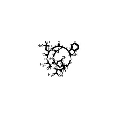 CC1NC(=O)C(CC(C)(C)O)NCC(=O)C2Cc3c([nH]c4ccccc34)SCC(NC(=O)C(C(C)O)NC1=O)C(=O)N1CC(O)CC1C(=O)NCC(=O)N2